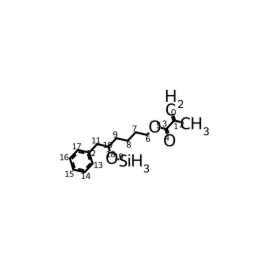 C=C(C)C(=O)OCCCCC(Cc1ccccc1)O[SiH3]